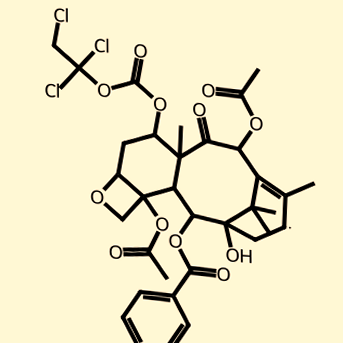 CC(=O)OC1C(=O)C2(C)C(OC(=O)OC(Cl)(Cl)CCl)CC3OCC3(OC(C)=O)C2C(OC(=O)c2ccccc2)C2(O)C[CH]C(C)=C1C2(C)C